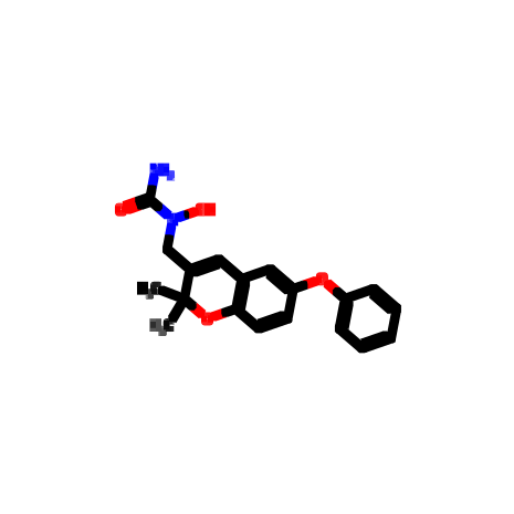 CC1(C)Oc2ccc(Oc3ccccc3)cc2C=C1CN(O)C(N)=O